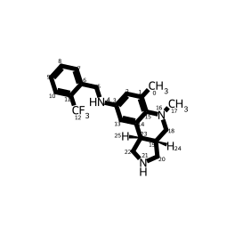 Cc1cc(NCc2ccccc2C(F)(F)F)cc2c1N(C)C[C@@H]1CNC[C@H]21